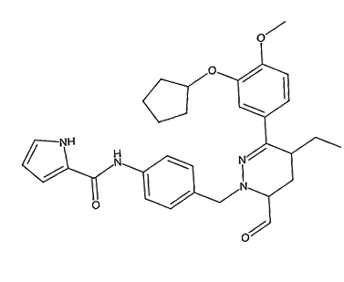 CCC1CC(C=O)N(Cc2ccc(NC(=O)c3ccc[nH]3)cc2)N=C1c1ccc(OC)c(OC2CCCC2)c1